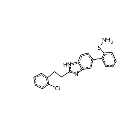 NSc1ccccc1-c1ccc2[nH]c(CCc3ccccc3Cl)nc2c1